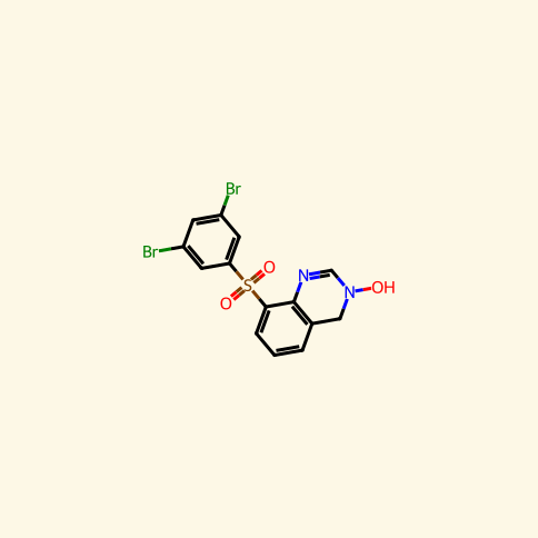 O=S(=O)(c1cc(Br)cc(Br)c1)c1cccc2c1N=CN(O)C2